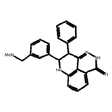 CNCc1cccc(C2Nc3cccc4c(=O)[nH]nc(c34)C2c2ccccc2)c1